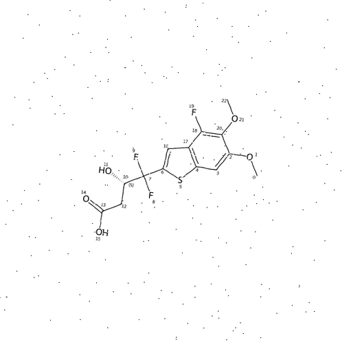 COc1cc2sc(C(F)(F)[C@@H](O)CC(=O)O)cc2c(F)c1OC